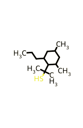 CCCC1CC(C)CC(C)C1C(C)(C)S